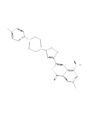 O=c1[nH]c(C2=CC(N3CCN(c4ccc(F)cc4)CC3)CC2)cc2c([N+](=O)[O-])cc(F)cc12